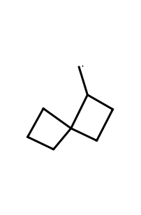 [CH2]C1CCC12CCC2